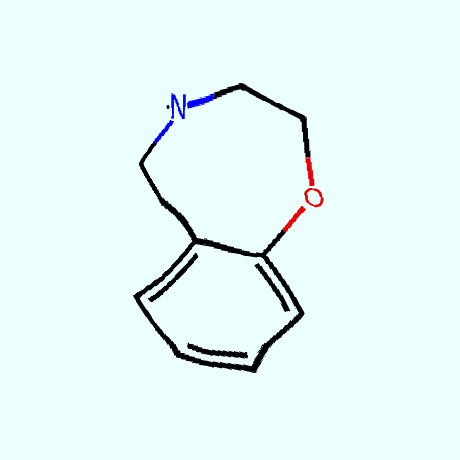 c1ccc2c(c1)C[N]CCO2